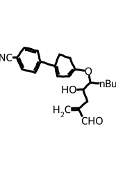 C=C(C=O)CC(O)C(CCCC)OC1=CC=C(c2ccc(C#N)cc2)CC1